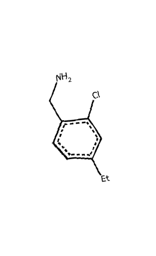 CCc1ccc(CN)c(Cl)c1